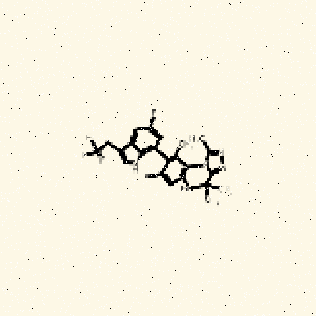 Cc1c(-c2cc(F)cc3c(CC(F)(F)F)c[nH]c23)c(F)cc2c1-n1c(C)nnc1C(C)(C)N2